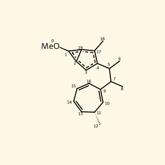 COc1c2cc(C(C)C(C)C3=C[C@H](C)C=CC=C3)c(C)c1-2